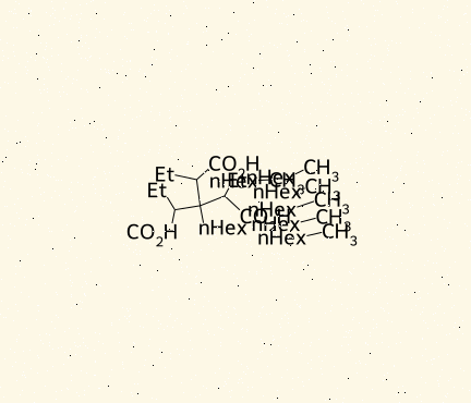 CCCCCCC.CCCCCCC.CCCCCCC.CCCCCCC.CCCCCCC.CCCCCCC.CCCCCCC(C(CC)C(=O)O)(C(CC)C(=O)O)C(CC)C(=O)O